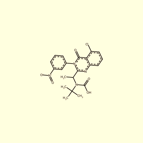 CC(c1nc2cccc(Cl)c2c(=O)n1-c1cccc([N+](=O)[O-])c1)N(C(=O)O)C(C)(C)C